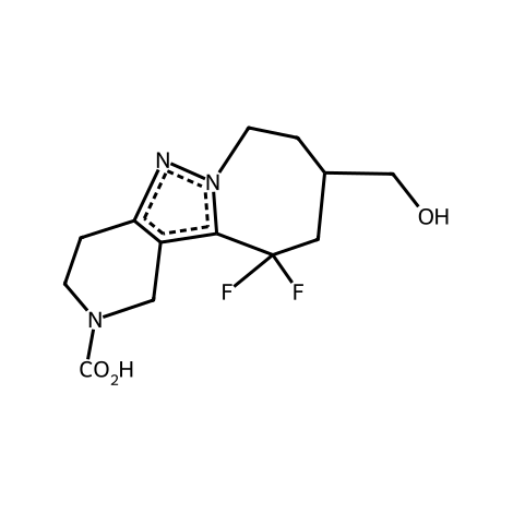 O=C(O)N1CCc2nn3c(c2C1)C(F)(F)CC(CO)CC3